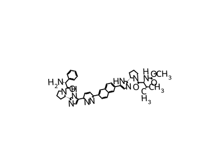 COC(=O)N[C@H](C(=O)N1CCC[C@H]1c1ncc(-c2ccc3cc(-c4ccc(-c5cnc([C@@H]6CCCN6C(=O)[C@H](N)c6ccccc6)[nH]5)nn4)ccc3c2)[nH]1)C(C)C